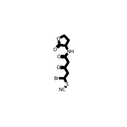 N#CSC(Br)CC(=O)CC(=O)NC1CCOC1=O